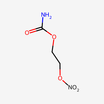 NC(=O)OCCO[N+](=O)[O-]